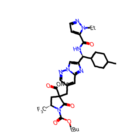 CCn1nccc1C(=O)N[C@H](c1cn2ncc(CC3(C(=O)OC)C[C@@H](C(F)(F)F)N(C(=O)OC(C)(C)C)C3=O)cc2n1)C1CCC(C)CC1